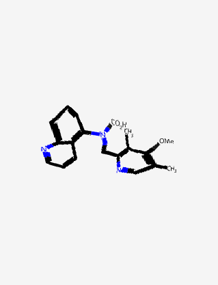 COc1c(C)cnc(CN(C(=O)O)c2cccc3ncccc23)c1C